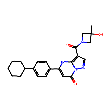 CC1(O)CN(C(=O)c2cnn3c(=O)cc(-c4ccc(C5CCCCC5)cc4)[nH]c23)C1